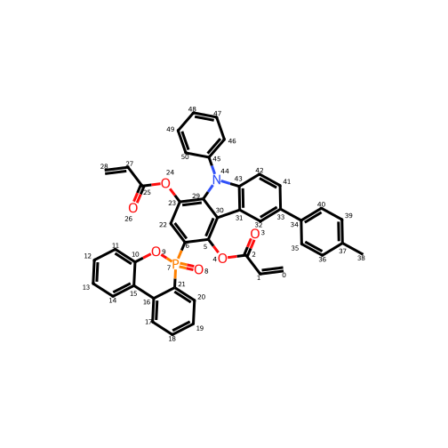 C=CC(=O)Oc1c(P2(=O)Oc3ccccc3-c3ccccc32)cc(OC(=O)C=C)c2c1c1cc(-c3ccc(C)cc3)ccc1n2-c1ccccc1